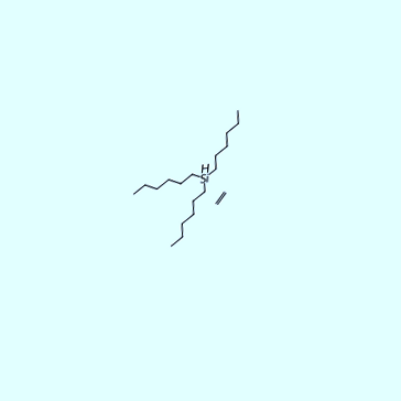 C=C.CCCCCC[SiH](CCCCCC)CCCCCC